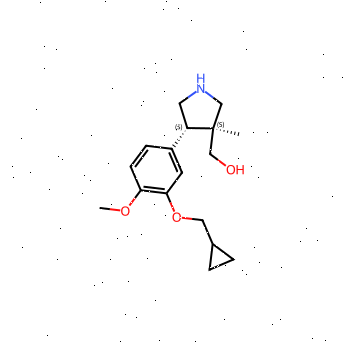 COc1ccc([C@@H]2CNC[C@@]2(C)CO)cc1OCC1CC1